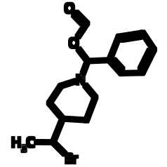 CC(Br)C1CCN(C(OC=O)c2ccccc2)CC1